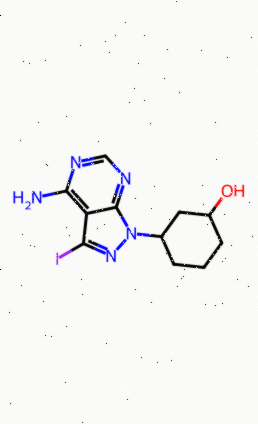 Nc1ncnc2c1c(I)nn2C1CCCC(O)C1